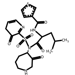 CC(C)CC(NC(=O)c1ccsc1)C(=O)N([C@H]1CCCNCC1=O)S(=O)(=O)C1=NC=CCC1=O